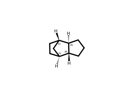 C1C[C@@H]2[C@H]3CC[C@@H](C3)[C@H]2C1